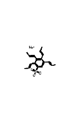 CC=Cc1cc(S(=O)(=O)[O-])c(C=CC)c(C=CC)c1C=CC.[Na+]